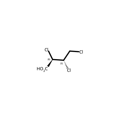 O=C(O)[C@@H](Cl)[C@@H](Cl)CCl